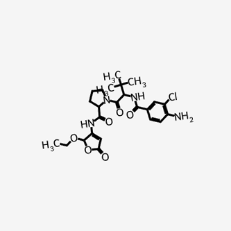 CCOC1OC(=O)C=C1NC(=O)C1CCCN1C(=O)C(NC(=O)c1ccc(N)c(Cl)c1)C(C)(C)C